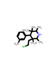 CC1NC(C)C(CCBr)(C(=O)O)C(c2cccc([N+](=O)[O-])c2)C1(C)C(=O)O